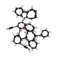 N#Cc1cc(-n2c3ccccc3c3ccccc32)ccc1-c1cccc(C#N)c1-c1c2ccccc2c(-c2ccccc2)c2ccccc12